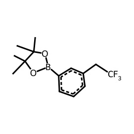 CC1(C)OB(c2cccc(CC(F)(F)F)c2)OC1(C)C